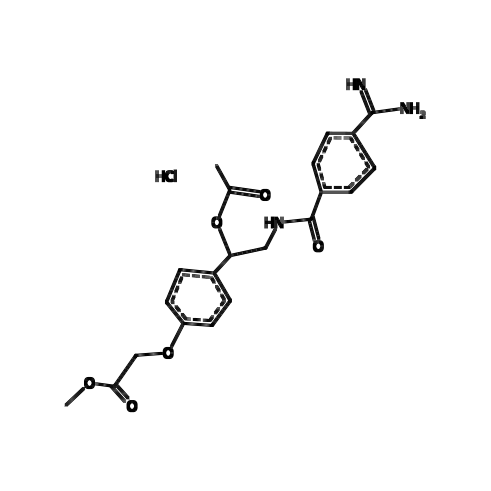 COC(=O)COc1ccc(C(CNC(=O)c2ccc(C(=N)N)cc2)OC(C)=O)cc1.Cl